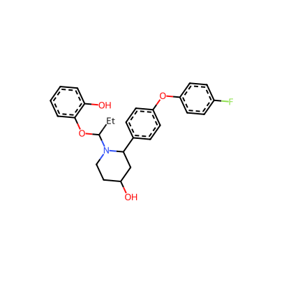 CCC(Oc1ccccc1O)N1CCC(O)CC1c1ccc(Oc2ccc(F)cc2)cc1